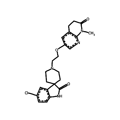 CN1C(=O)CCc2cc(OCCN3CCC4(CC3)C(=O)Nc3ccc(Cl)cc34)cnc21